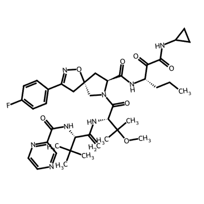 C=C(N[C@H](C(=O)N1C[C@@]2(CC(c3ccc(F)cc3)=NO2)C[C@H]1C(=O)N[C@@H](CCC)C(=O)C(=O)NC1CC1)C(C)(C)OC)[C@@H](NC(=O)c1cnccn1)C(C)(C)C